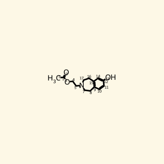 CC(=O)OCCN1CCc2ccc(O)cc2CC1